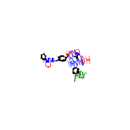 O=C(NCc1ccc(C(=O)Nc2nonc2/C(=N\O)Nc2ccc(F)c(Br)c2)cc1)c1ccccc1